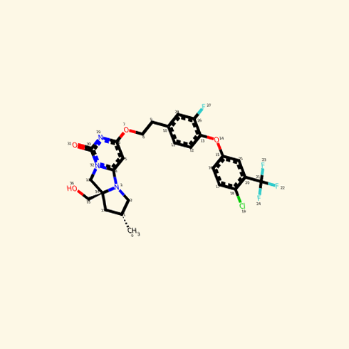 C[C@H]1CN2c3cc(OCCc4ccc(Oc5ccc(Cl)c(C(F)(F)F)c5)c(F)c4)nc(=O)n3C[C@@]2(CO)C1